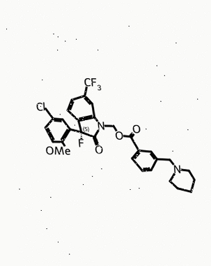 COc1ccc(Cl)cc1[C@]1(F)C(=O)N(COC(=O)c2cccc(CN3CCCCC3)c2)c2cc(C(F)(F)F)ccc21